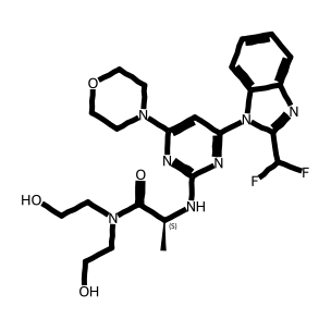 C[C@H](Nc1nc(N2CCOCC2)cc(-n2c(C(F)F)nc3ccccc32)n1)C(=O)N(CCO)CCO